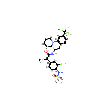 CC(C(=O)NCCc1ccc(C(F)(F)F)cc1N1CCCCC1)c1ccc(NS(C)(=O)=O)c(F)c1